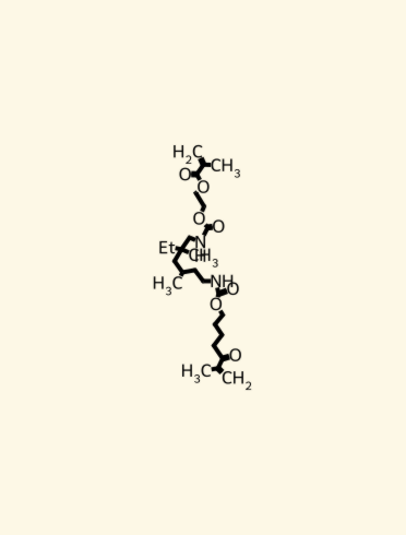 C=C(C)C(=O)CCCCOC(=O)NCCC(C)CC(C)(CC)CNC(=O)OCCOC(=O)C(=C)C